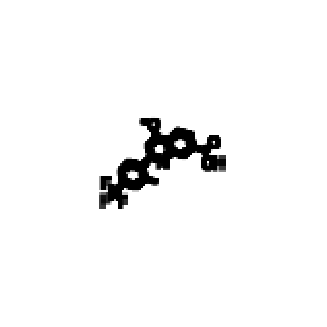 COc1cc(-c2ccc(C(F)(F)F)cc2C)nc2cc(C(=O)O)ccc12